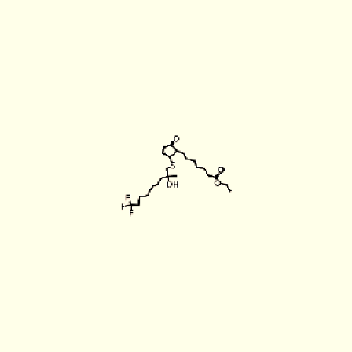 CCOC(=O)CCCCCCC1C(=O)CCC1SCC(C)(O)CCCCCCC(F)(F)F